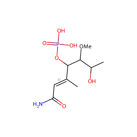 COC(C(C)O)C(OP(=O)(O)O)/C(C)=C/C(N)=O